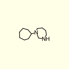 C1CCCC(N2CCCCNC2)CC1